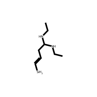 CCNC(CC=C[SiH3])NCC